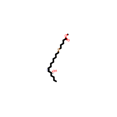 CCCC[C@@H](O)/C=C\CCCCCCCSCCCCC(=O)OC